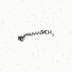 CCCSCCCCCCCCCCC#Cc1cccnc1